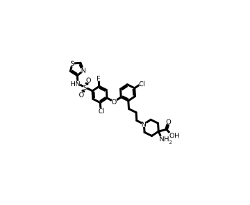 NC1(C(=O)O)CCN(CCCc2cc(Cl)ccc2Oc2cc(F)c(S(=O)(=O)Nc3cscn3)cc2Cl)CC1